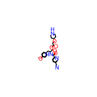 COc1ccc(CC(NC(=O)c2ccc(C#N)cn2)C(=O)OC(=O)COC2CCNCC2)cc1